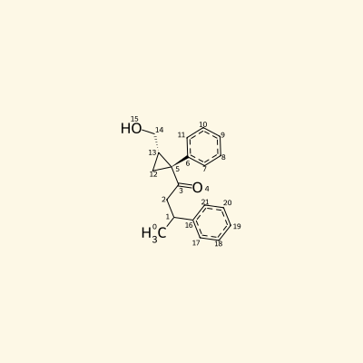 CC(CC(=O)[C@]1(c2ccccc2)C[C@@H]1CO)c1ccccc1